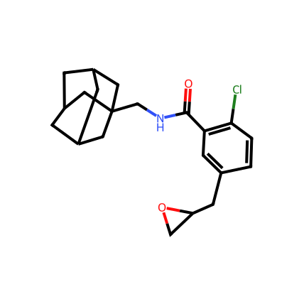 O=C(NCC12CC3CC(CC(C3)C1)C2)c1cc(CC2CO2)ccc1Cl